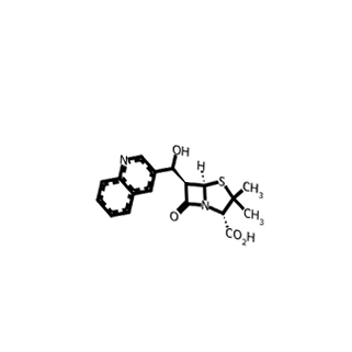 CC1(C)S[C@@H]2[C@H](C(O)c3cnc4ccccc4c3)C(=O)N2[C@H]1C(=O)O